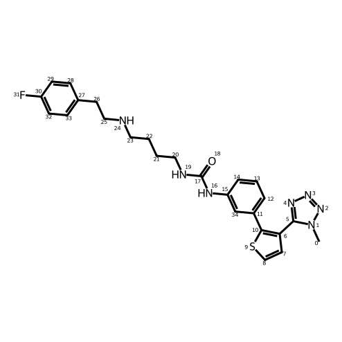 Cn1nnnc1-c1ccsc1-c1cccc(NC(=O)NCCCCNCCc2ccc(F)cc2)c1